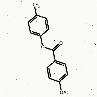 CC(=O)Oc1ccc(C(=O)Oc2ccc(C(F)(F)F)cc2)cc1